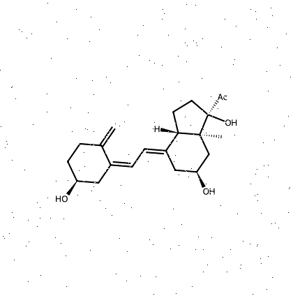 C=C1CC[C@H](O)C/C1=C/C=C1\C[C@H](O)C[C@@]2(C)[C@H]1CC[C@]2(O)C(C)=O